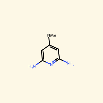 CNc1cc(N)nc(N)c1